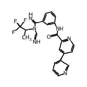 CC(N(C=N)C(=N)c1cccc(NC(=O)c2cc(-c3cccnc3)ccn2)c1)C(F)(F)F